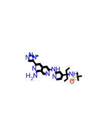 CCC(CC)(N[S+]([O-])C(C)(C)C)c1ccnc(Nc2cc3cc(-c4cnnn4C)nc(N)c3cn2)c1